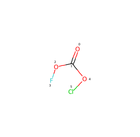 O=C(OF)OCl